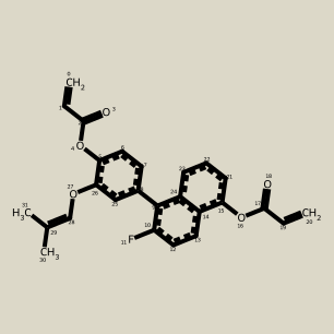 C=CC(=O)Oc1ccc(-c2c(F)ccc3c(OC(=O)C=C)cccc23)cc1OC=C(C)C